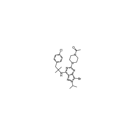 CC(=O)N1CCN(c2nc(NC(C)(C)Cc3ccc(Cl)cc3)c3nn(C(C)C)c(Br)c3n2)CC1